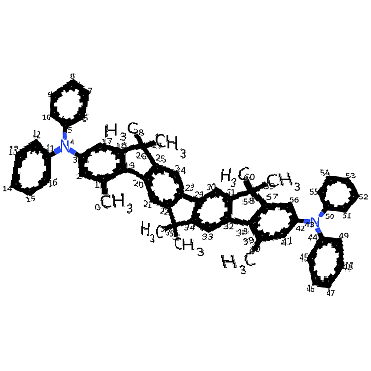 Cc1cc(N(c2ccccc2)c2ccccc2)cc2c1-c1cc3c(cc1C2(C)C)-c1cc2c(cc1C3(C)C)-c1c(C)cc(N(c3ccccc3)c3ccccc3)cc1C2(C)C